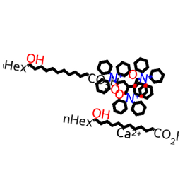 CCCCCCC(O)CCCCCCCCCCC(=O)O.CCCCCCC(O)CCCCCCCCCCC(=O)O.O=C(CC(CC(=O)[N+](C1CCCCC1)(C1CCCCC1)C1CCCCC1)C(=O)[N+](C1CCCCC1)(C1CCCCC1)C1CCCCC1)[N+](C1CCCCC1)(C1CCCCC1)C1CCCCC1.[Ca+2]